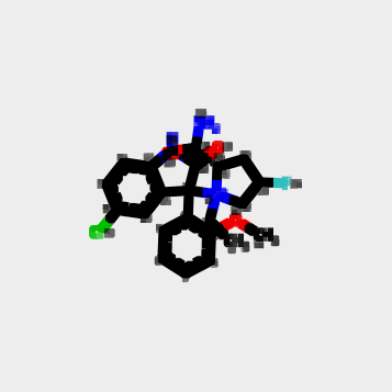 CC[N+]1(C2(c3ccccc3OC)C(=O)Nc3ccc(Cl)cc32)CC(F)C[C@H]1C(N)=O